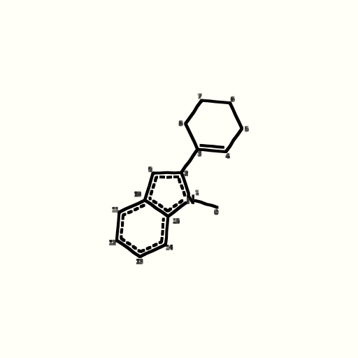 Cn1c(C2=CCCCC2)cc2ccccc21